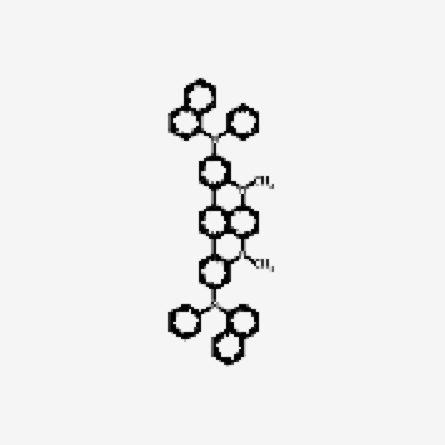 CN1c2cc(N(c3ccccc3)c3cccc4ccccc34)ccc2-c2ccc3c4c(ccc1c24)N(C)c1cc(N(c2ccccc2)c2cccc4ccccc24)ccc1-3